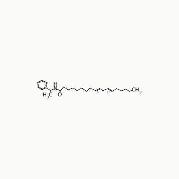 CCCCC/C=C/C/C=C/CCCCCCCC(=O)NC(C)c1ccccc1